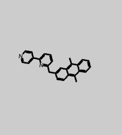 Cc1c2ccccc2c(C)c2cc(Cc3cccc(-c4ccncc4)n3)ccc12